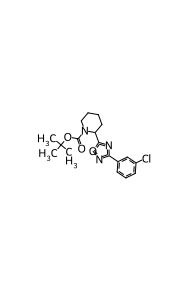 CC(C)(C)OC(=O)N1CCCCC1c1nc(-c2cccc(Cl)c2)no1